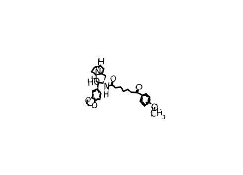 COc1ccc(C(=O)CCCCCC(=O)N[C@H](CN2C[C@H]3CC[C@@H]2CC3)[C@H](O)c2ccc3c(c2)OCCO3)cc1